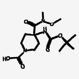 CON(C)C(=O)C1(NC(=O)OC(C)(C)C)CCN(C(=O)O)CC1